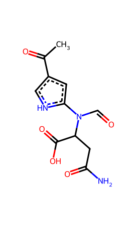 CC(=O)c1c[nH]c(N(C=O)C(CC(N)=O)C(=O)O)c1